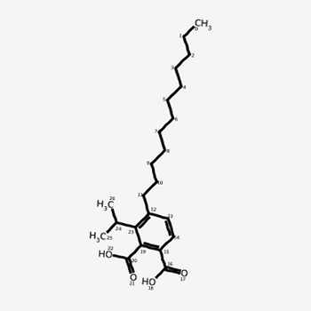 CCCCCCCCCCCCc1ccc(C(=O)O)c(C(=O)O)c1C(C)C